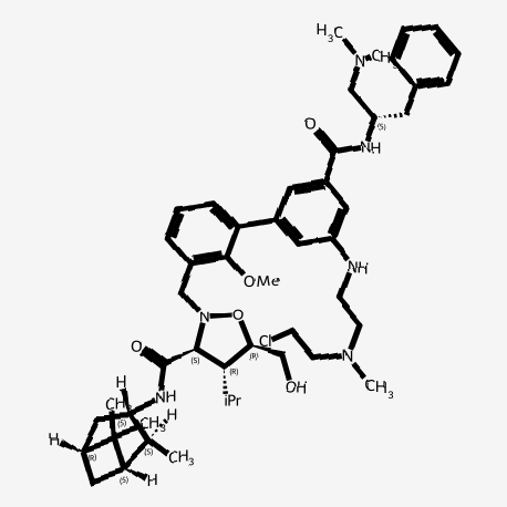 COc1c(CN2O[C@@H](CO)[C@H](C(C)C)[C@H]2C(=O)N[C@H]2C[C@H]3C[C@@H]([C@@H]2C)C3(C)C)cccc1-c1cc(NCCN(C)CCCl)cc(C(=O)N[C@@H](Cc2ccccc2)CN(C)C)c1